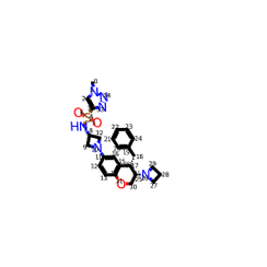 Cn1cc(S(=O)(=O)NC2CN(c3ccc4c(c3)[C@H](Cc3ccccc3)[C@H](N3CCC3)CO4)C2)nn1